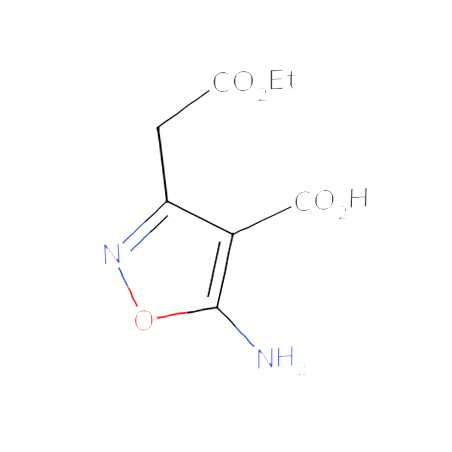 CCOC(=O)Cc1noc(N)c1C(=O)O